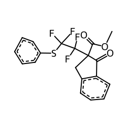 COC(=O)C1(C(F)(F)C(F)(F)Sc2ccccc2)Cc2ccccc2C1=O